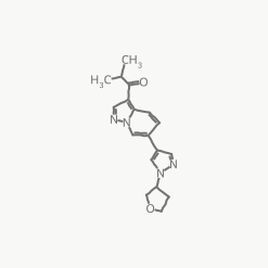 CC(C)C(=O)c1cnn2cc(-c3cnn(C4CCOC4)c3)ccc12